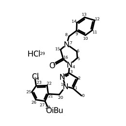 Cc1cc(N2CCN(Cc3ccccc3)CC2=O)nn1Cc1cc(Cl)ccc1OCC(C)C.Cl